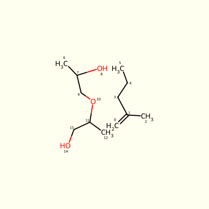 C=C(C)CCC.CC(O)COC(C)CO